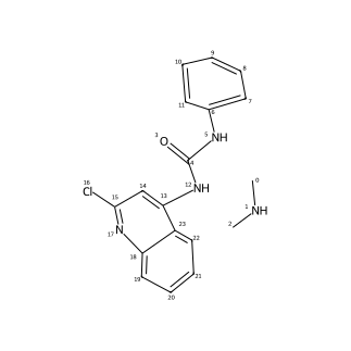 CNC.O=C(Nc1ccccc1)Nc1cc(Cl)nc2ccccc12